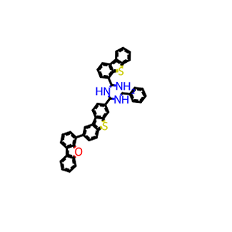 NC(NC(NCc1ccccc1)c1ccc2c(c1)sc1ccc(-c3cccc4c3oc3ccccc34)cc12)c1cccc2c1sc1ccccc12